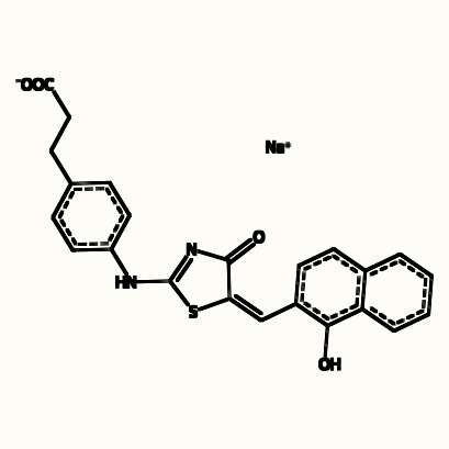 O=C([O-])CCc1ccc(NC2=NC(=O)C(=Cc3ccc4ccccc4c3O)S2)cc1.[Na+]